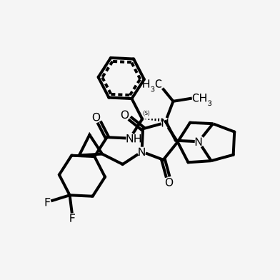 CC(C)N1C(=O)N(CC2CC2)C(=O)C12CC1CCC(C2)N1CC[C@H](NC(=O)C1CCC(F)(F)CC1)c1ccccc1